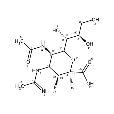 CC(=N)NC1[C@@H](NC(C)=O)C([C@H](O)[C@H](O)CO)O[C@@](F)(C(=O)O)[C@H]1F